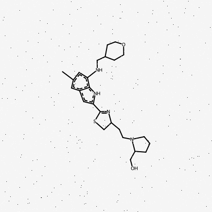 Cc1cc(NCC2CCOCC2)c2[nH]c(C3=NC(CCN4CCCC4CO)CS3)cc2c1